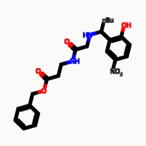 CCCCC(NCC(=O)NCCC(=O)OCc1ccccc1)c1cc([N+](=O)[O-])ccc1O